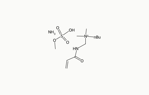 C=CC(=O)NC[N+](C)(C)CCCC.COS(=O)(=O)O.N